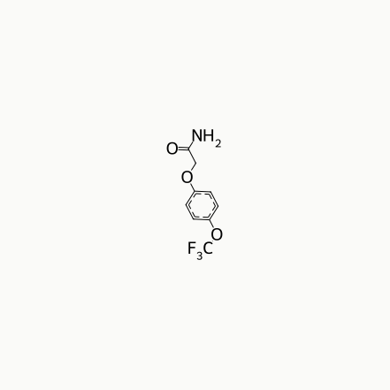 NC(=O)COc1ccc(OC(F)(F)F)cc1